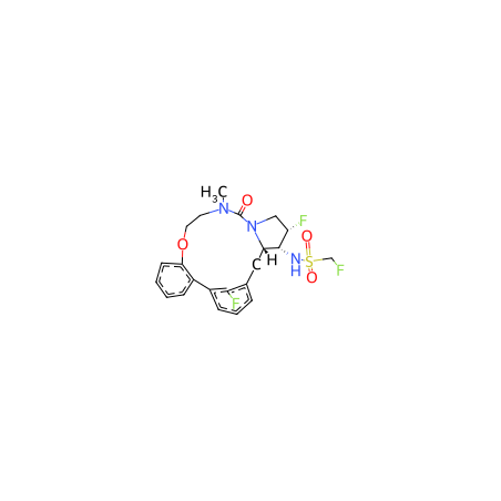 CN1CCOc2ccccc2-c2cccc(c2F)C[C@H]2[C@@H](NS(=O)(=O)CF)[C@@H](F)CN2C1=O